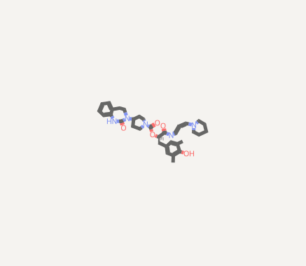 Cc1cc(C[C@@H](OC(=O)N2CCC(N3CCc4ccccc4NC3=O)CC2)C(=O)N=C=C=CN2CCCCC2)cc(C)c1O